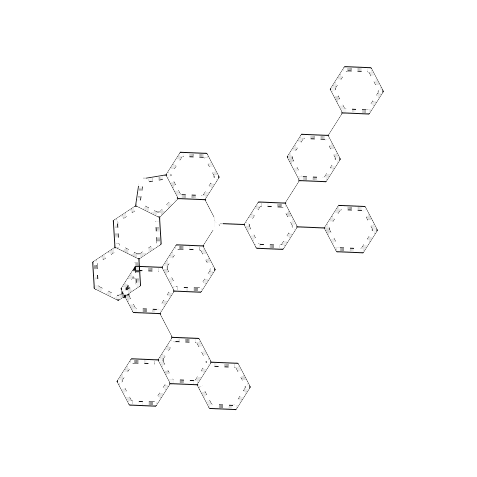 c1ccc(-c2ccc(-c3cc(N(c4ccc5c(-c6cc7ccccc7c7ccccc67)cccc5c4)c4cccc5oc6cc7ccccc7cc6c45)ccc3-c3ccccc3)cc2)cc1